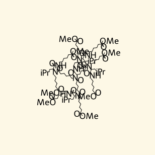 COC(=O)CCCCCNC(=O)C(CC(C)C)N(CCCCCC(=O)OC)C(=O)CCCCCN(C(=O)CCCC(=O)N(CCCCCC(=O)OC)C(CC(C)C)C(=O)NCCCCCC(=O)OC)C(CCCC(=O)N(CCCCCC(=O)OC)C(CC(C)C)C(=O)NCCCCCC(=O)OC)C(=O)NCCC(=O)N(CCCCCC(=O)OC)C(CC(C)C)C(=O)NCCCCCC(=O)OC